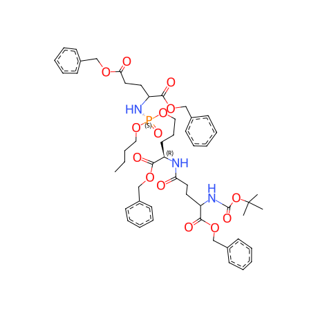 CCCCO[P@@](=O)(NC(CCC(=O)OCc1ccccc1)C(=O)OCc1ccccc1)OCCC[C@@H](NC(=O)CCC(NC(=O)OC(C)(C)C)C(=O)OCc1ccccc1)C(=O)OCc1ccccc1